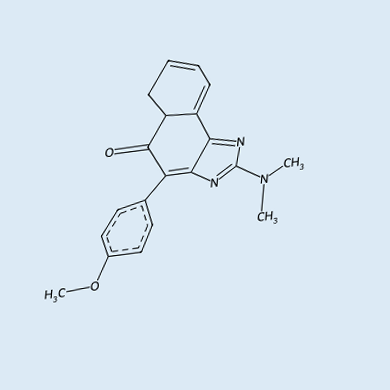 COc1ccc(C2=C3N=C(N(C)C)N=C3C3=CC=CCC3C2=O)cc1